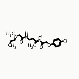 C=C(CCNC(=O)CN(C)CCC)NC(=O)COc1ccc(Cl)cc1